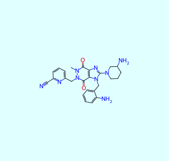 Cn1c(=O)c2nc(N3CCCC(N)C3)n(Cc3ccccc3N)c2c(=O)n1Cc1cccc(C#N)n1